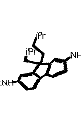 CC(=O)Nc1ccc2c(c1)C(CCC(C)C)(CC(C)C)c1cc(NC(C)=O)ccc1-2